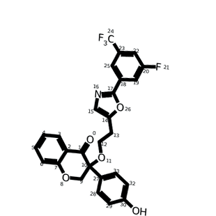 O=C1c2ccccc2OCC1(OCCc1cnc(-c2cc(F)cc(C(F)(F)F)c2)o1)c1ccc(O)cc1